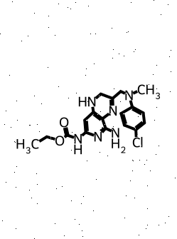 CCOC(=O)Nc1cc2c(c(N)n1)N=C(CN(C)c1ccc(Cl)cc1)CN2